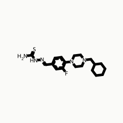 NC(=S)NN=Cc1ccc(N2CCN(CC3CCCCC3)CC2)c(F)c1